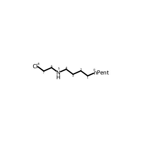 CCCCCCCCCNCCCl